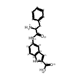 NC(Cc1ccccc1)C(=O)Nc1ccc2[nH]c(C(=O)O)cc2c1